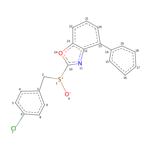 [O-][S+](Cc1ccc(Cl)cc1)c1nc2c(-c3ccccc3)cccc2o1